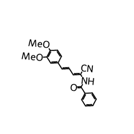 COc1ccc(/C=C/C=C(\C#N)NC(=O)c2ccccc2)cc1OC